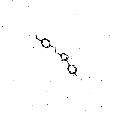 FC(F)(F)c1ccc(-c2nc(COc3ccc(CCl)cc3)co2)cc1